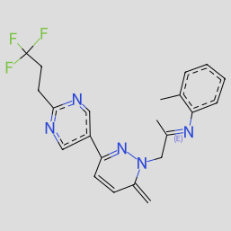 C=C1C=CC(c2cnc(CCC(F)(F)F)nc2)=NN1C/C(C)=N/c1ccccc1C